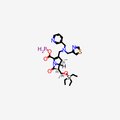 CC[Si](CC)(CC)O[C@H](C)[C@H]1C(=O)N2C(C(=O)OP)=C(CN(Cc3cccnc3)Cc3cscn3)[C@H](C)[C@H]12